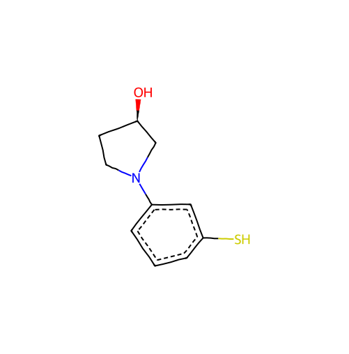 O[C@@H]1CCN(c2cccc(S)c2)C1